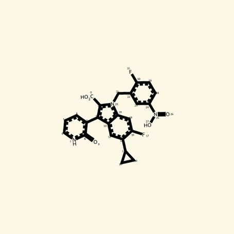 O=C(O)c1c(-c2ccc[nH]c2=O)c2cc(C3CC3)c(F)cc2n1Cc1cc([N+](=O)O)ccc1F